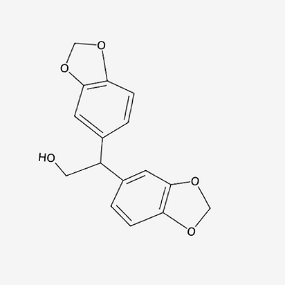 OCC(c1ccc2c(c1)OCO2)c1ccc2c(c1)OCO2